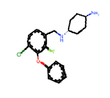 N[C@H]1CC[C@H](NCc2ccc(Cl)c(Oc3ccccc3)c2F)CC1